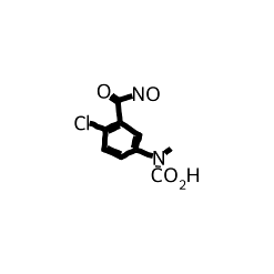 CN(C(=O)O)c1ccc(Cl)c(C(=O)N=O)c1